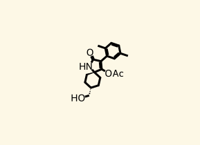 CC(=O)OC1=C(c2cc(C)ccc2C)C(=O)N[C@]12CC[C@@H](CO)CC2